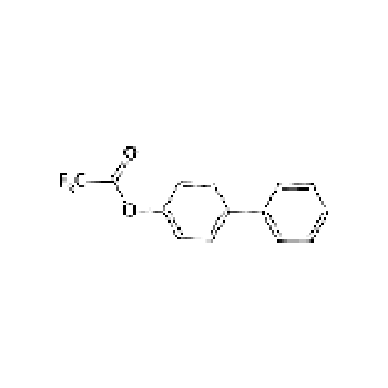 O=C(Oc1ccc(-c2ccccc2)cc1)C(F)(F)F